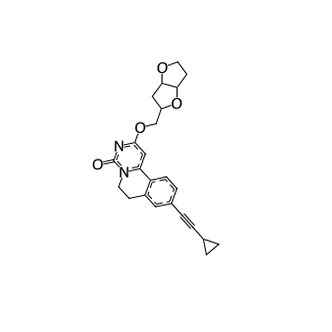 O=c1nc(OCC2CC3OCCC3O2)cc2n1CCc1cc(C#CC3CC3)ccc1-2